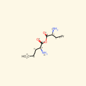 CC(C)C[C@H](N)C(=O)OC(=O)[C@@H](N)CCC(=O)O